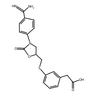 N=C(N)c1ccc(N2CC(CSc3cccc(CC(=O)O)c3)OC2=O)cc1